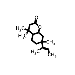 C/C=C(\C)C1(C)CCC2C(C1)OC(=O)CC2(C)C